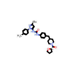 Cc1ccc(-n2nc(C(C)(C)C)cc2NC(=O)Nc2ccc(CC3CCN(C(=O)[C@@H]4CCCO4)CC3)cc2)cc1